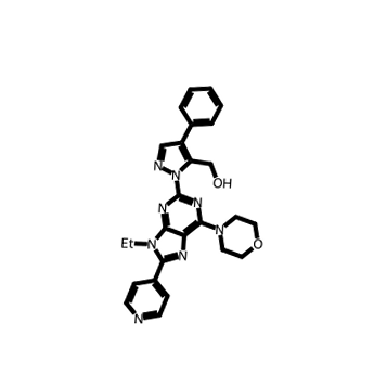 CCn1c(-c2ccncc2)nc2c(N3CCOCC3)nc(-n3ncc(-c4ccccc4)c3CO)nc21